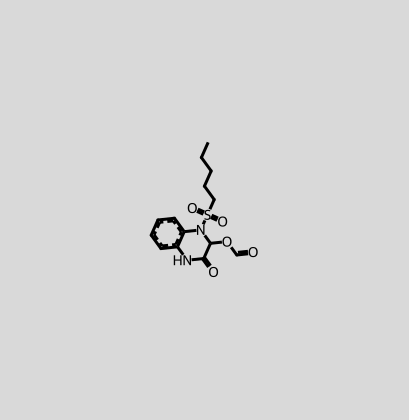 CCCCCS(=O)(=O)N1c2ccccc2NC(=O)C1OC=O